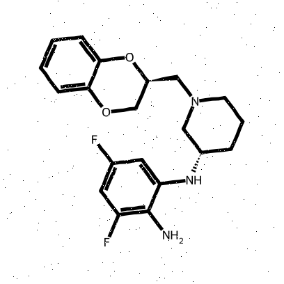 Nc1c(F)cc(F)cc1N[C@H]1CCCN(C[C@H]2COc3ccccc3O2)C1